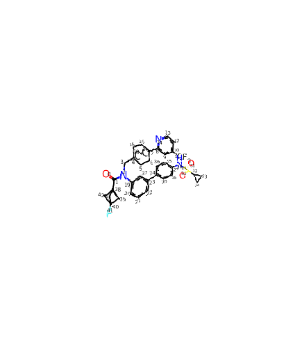 O=C(N(CC12CCC(c3cc(C(F)(F)F)ccn3)(CC1)CC2)c1cccc(-c2ccc(NS(=O)(=O)C3CC3)cc2)c1)C12CC(F)(C1)C2